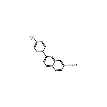 CCOC(=O)c1ccc2ccc(-c3ccc(C(F)(F)F)cc3)cc2c1